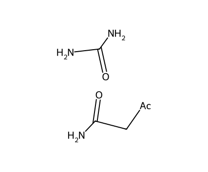 CC(=O)CC(N)=O.NC(N)=O